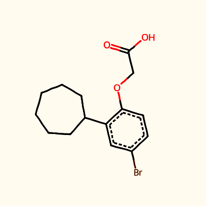 O=C(O)COc1ccc(Br)cc1C1CCCCCC1